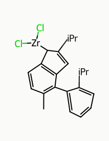 Cc1ccc2c(c1-c1ccccc1C(C)C)C=C(C(C)C)[CH]2[Zr]([Cl])[Cl]